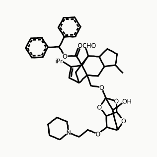 CC(C)C1=CC2CC3(C=O)C4CCC(C)C4CC2(COC24OC5OC(C(OCCN6CCCCC6)C5O2)C4O)C13C(=O)OC(c1ccccc1)c1ccccc1